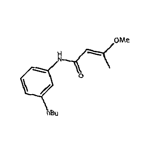 CCCCc1cccc(NC(=O)C=C(C)OC)c1